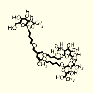 CC(=O)NC1C(OCCCCCOCC(/C=C(/C)OCCCCCOC(OC(CO)[C@@H](C)O)[C@H](CO)NC(C)=O)COCCCCCOC2OC(CO)C(O)C(O)[C@@H]2NC(C)=O)OC(CO)C(O)C1O